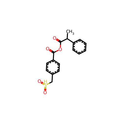 CC(C(=O)OC(=O)c1ccc(C[SH](=O)=O)cc1)c1ccccc1